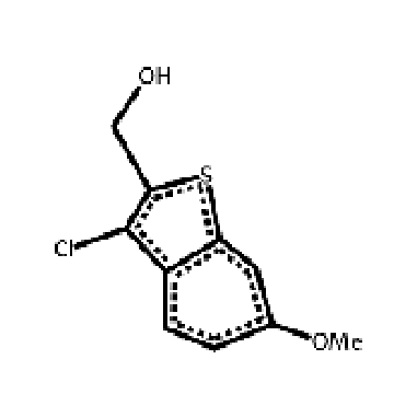 COc1ccc2c(Cl)c(CO)sc2c1